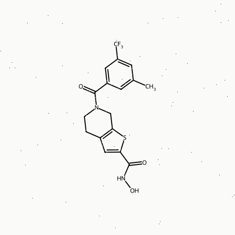 Cc1cc(C(=O)N2CCc3cc(C(=O)NO)sc3C2)cc(C(F)(F)F)c1